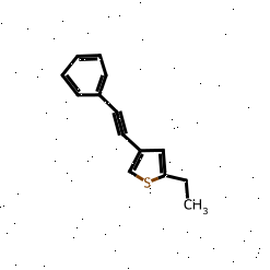 CCc1cc(C#Cc2ccccc2)cs1